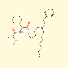 CCCCCCCCN(CCc1ccccc1)C[C@@H]1CCCN1C(=O)[C@@H](NC(=O)[C@H](C)NC)C1CCCCC1